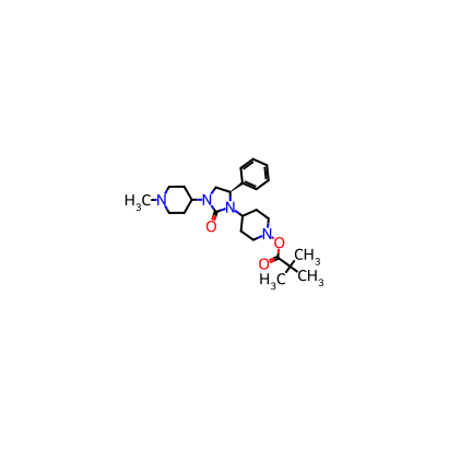 CN1CCC(N2C[C@@H](c3ccccc3)N(C3CCN(OC(=O)C(C)(C)C)CC3)C2=O)CC1